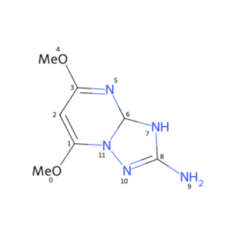 COC1=CC(OC)=NC2NC(N)=NN12